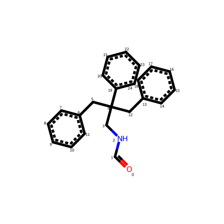 O=CNCC(Cc1ccccc1)(Cc1ccccc1)c1ccccc1